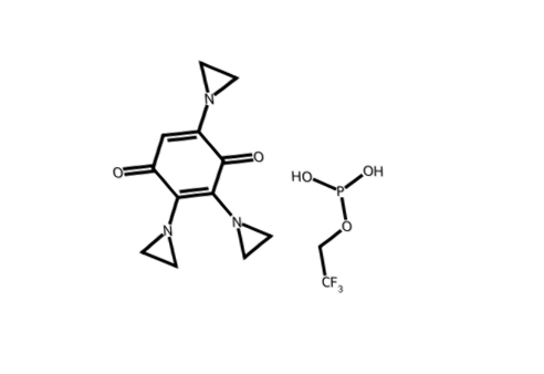 O=C1C=C(N2CC2)C(=O)C(N2CC2)=C1N1CC1.OP(O)OCC(F)(F)F